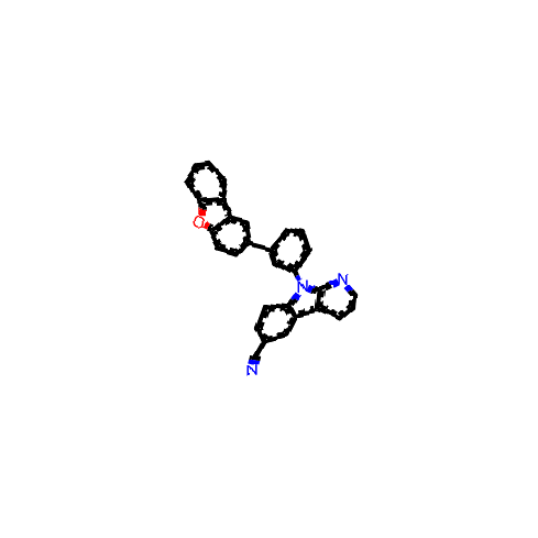 N#Cc1ccc2c(c1)c1cccnc1n2-c1cccc(-c2ccc3oc4ccccc4c3c2)c1